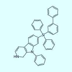 C1=Cc2c(n(-c3ccccc3)c3cc([Si](c4ccccc4)(c4ccccc4)c4cccc(-c5ccccc5)c4)ccc23)CN1